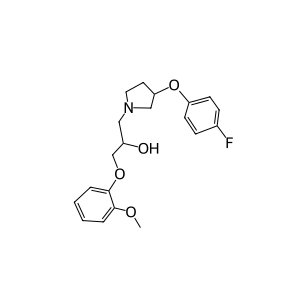 COc1ccccc1OCC(O)CN1CCC(Oc2ccc(F)cc2)C1